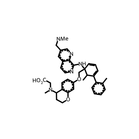 CNCc1cnc2c(NC3(COc4ccc5c(c4)OCCC5N(C)CC(=O)O)C=CC=C(c4ccccc4C)C3C)nccc2c1